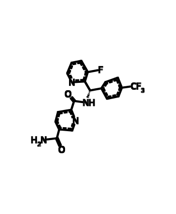 NC(=O)c1ccc(C(=O)N[C@@H](c2ccc(C(F)(F)F)cc2)c2ncccc2F)nc1